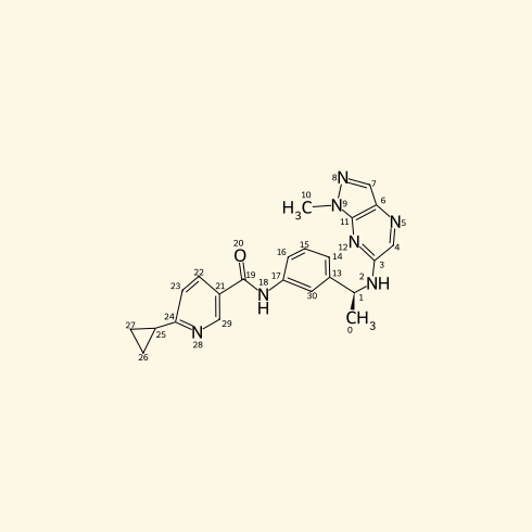 C[C@H](Nc1cnc2cnn(C)c2n1)c1cccc(NC(=O)c2ccc(C3CC3)nc2)c1